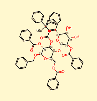 CC(C)(C)[Si](OC[C@H]1O[C@@H](O[C@H]2[C@H](OC(=O)c3ccccc3)[C@@H](OC(=O)c3ccccc3)[C@H](OCc3ccccc3)O[C@@H]2COC(=O)c2ccccc2)[C@H](OC(=O)c2ccccc2)[C@@H](O)[C@H]1O)(c1ccccc1)c1ccccc1